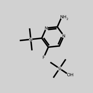 C[Si](C)(C)O.C[Si](C)(C)c1nc(N)ncc1F